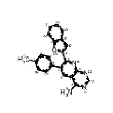 Cc1ccc(-c2cc3c(N)ncnc3nc2-c2cc3ccccc3o2)cc1